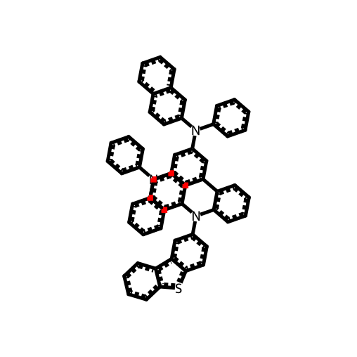 c1ccc(N(c2ccccc2)c2cc(-c3ccccc3N(c3ccccc3)c3ccc4sc5ccccc5c4c3)cc(N(c3ccccc3)c3ccc4ccccc4c3)c2)cc1